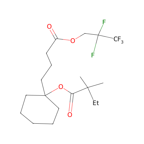 CCC(C)(C)C(=O)OC1(CCCC(=O)OCC(F)(F)C(F)(F)F)CCCCC1